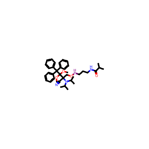 COC(OC)(C(c1ccccc1)(c1ccccc1)c1ccccc1)C(C#N)(COPCCCNC(=O)C(C)C)N(C(C)C)C(C)C